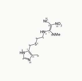 CN/C(NCCSCc1[nH]cnc1C)=C(/C#N)[N+](=O)[O-]